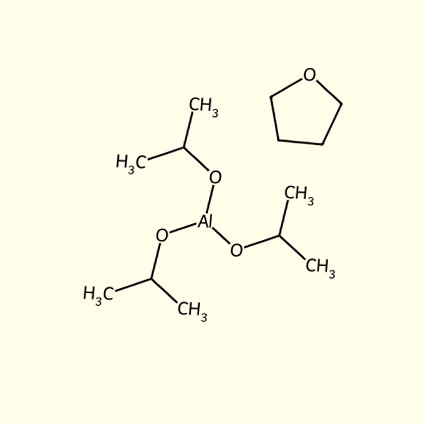 C1CCOC1.CC(C)[O][Al]([O]C(C)C)[O]C(C)C